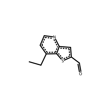 CCc1ccnc2cc(C=O)sc12